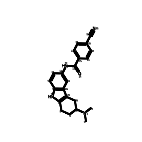 CN(C)C1CCc2[nH]c3ccc(NC(=O)c4ccc(C#N)cc4)cc3c2C1